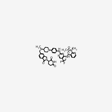 CN(Cc1ccc2c(c1)CN(C1CCC(=O)NC1=O)C2=O)C1CCN(c2ccc(Nc3ncc(C(F)(F)F)c(NCc4cccnc4N(C)S(C)(=O)=O)n3)cc2)CC1